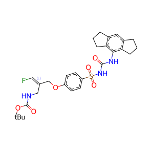 CC(C)(C)OC(=O)NC/C(=C\F)COc1ccc(S(=O)(=O)NC(=O)Nc2c3c(cc4c2CCC4)CCC3)cc1